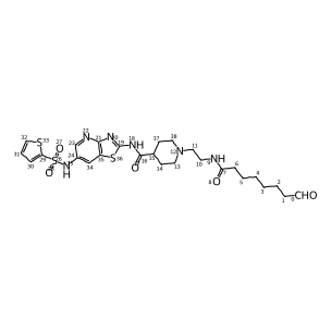 O=CCCCCCCC(=O)NCCN1CCC(C(=O)Nc2nc3ncc(NS(=O)(=O)c4cccs4)cc3s2)CC1